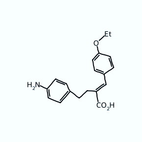 CCOc1ccc(C=C(CCc2ccc(N)cc2)C(=O)O)cc1